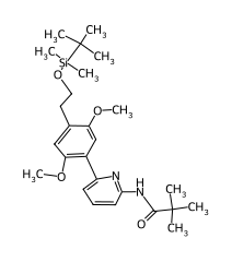 COc1cc(-c2cccc(NC(=O)C(C)(C)C)n2)c(OC)cc1CCO[Si](C)(C)C(C)(C)C